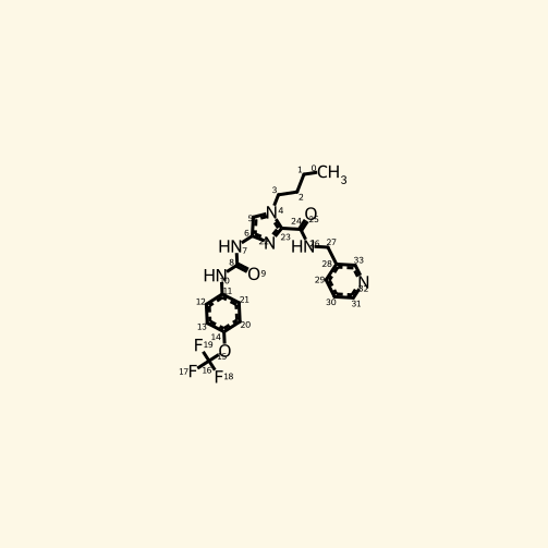 CCCCn1cc(NC(=O)Nc2ccc(OC(F)(F)F)cc2)nc1C(=O)NCc1cccnc1